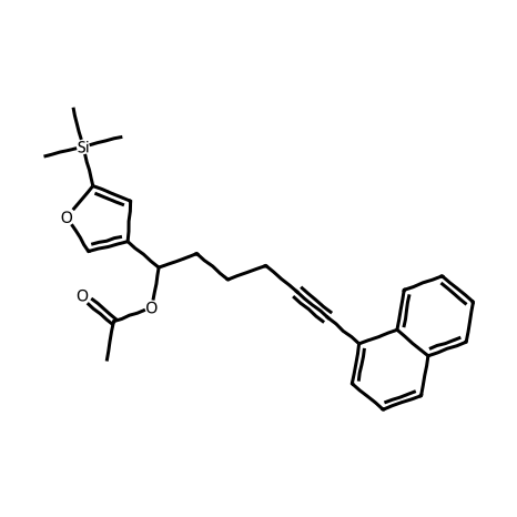 CC(=O)OC(CCCC#Cc1cccc2ccccc12)c1coc([Si](C)(C)C)c1